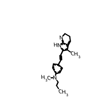 CCCN(C)c1ccc(C#Cc2[nH]c3c(c2C)=CCCN=3)cc1